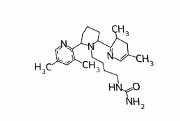 CC1=CN=C(C2CCCC(c3ncc(C)cc3C)N2CCCCNC(N)=O)C(C)C1